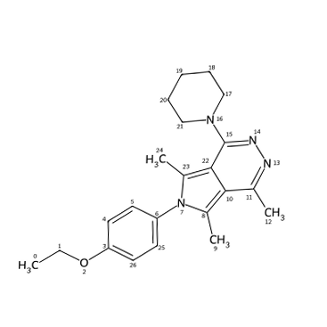 CCOc1ccc(-n2c(C)c3c(C)nnc(N4CCCCC4)c3c2C)cc1